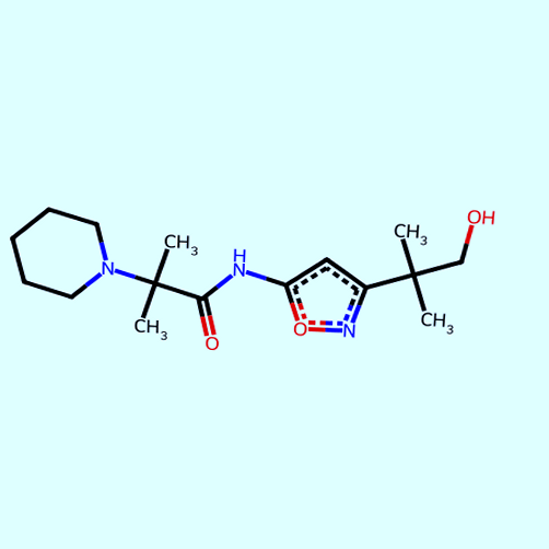 CC(C)(CO)c1cc(NC(=O)C(C)(C)N2CCCCC2)on1